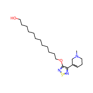 CN1CCC=C(c2nsnc2OCCCCCCCCCCCCO)C1